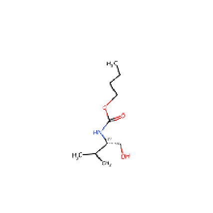 CCCCOC(=O)N[C@H](CO)C(C)C